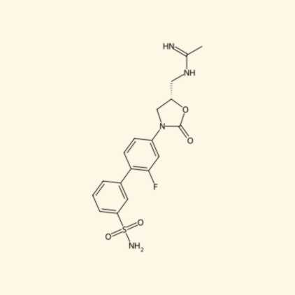 CC(=N)NC[C@H]1CN(c2ccc(-c3cccc(S(N)(=O)=O)c3)c(F)c2)C(=O)O1